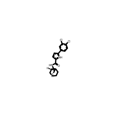 O=C(N[C@H]1CN2CCC1CC2)c1ccc(-c2ccc(Cl)c(Cl)c2)[nH]1